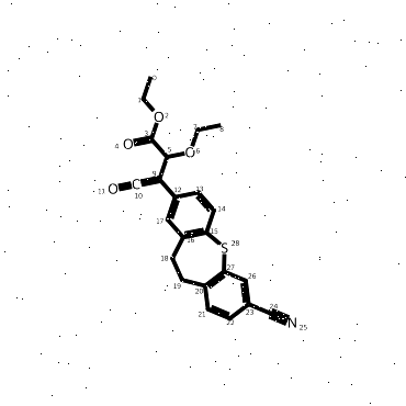 CCOC(=O)C(OCC)C(=C=O)c1ccc2c(c1)CCc1ccc(C#N)cc1S2